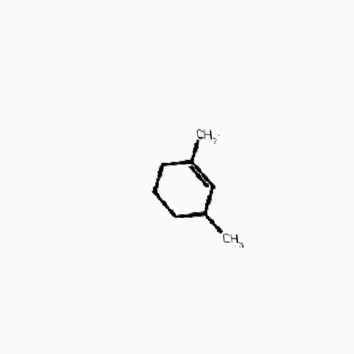 [CH2]C1=CC(C)CCC1